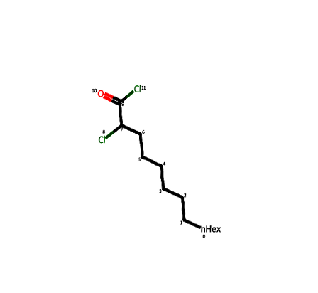 CCCCCCCCCCCCC(Cl)C(=O)Cl